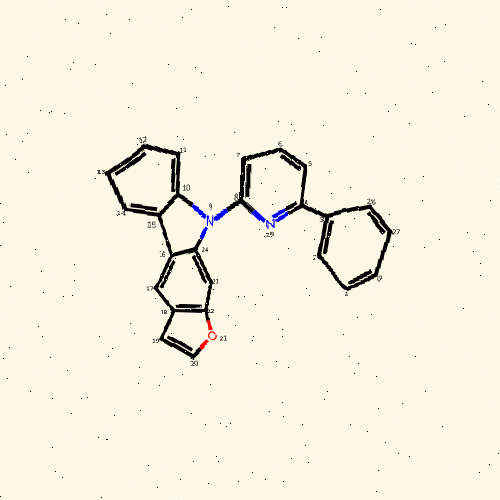 c1ccc(-c2cccc(-n3c4ccccc4c4cc5ccoc5cc43)n2)cc1